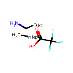 CCCCCCCC.NCC=O.O=C(O)C(F)(F)F